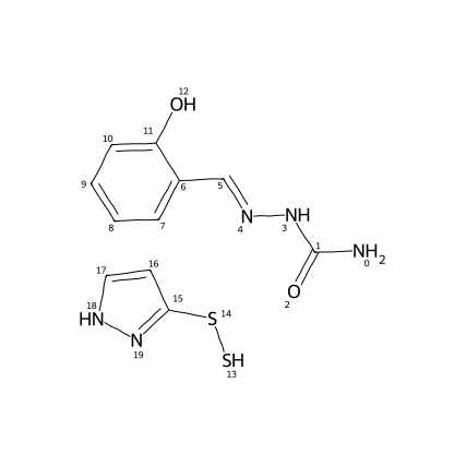 NC(=O)NN=Cc1ccccc1O.SSc1cc[nH]n1